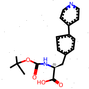 CC(C)(C)OC(=O)N[C@@H](Cc1ccc(-c2ccncc2)cc1)C(=O)O